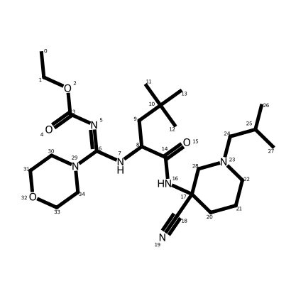 CCOC(=O)N=C(NC(CC(C)(C)C)C(=O)NC1(C#N)CCCN(CC(C)C)C1)N1CCOCC1